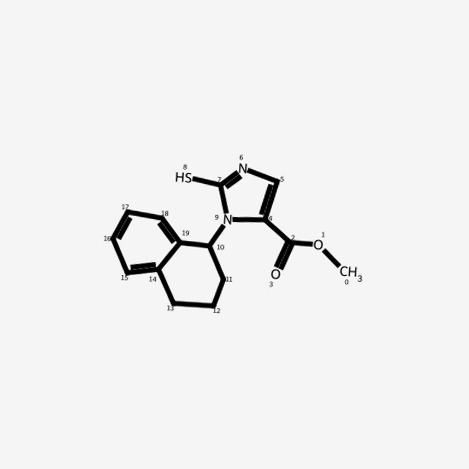 COC(=O)c1cnc(S)n1C1CCCc2ccccc21